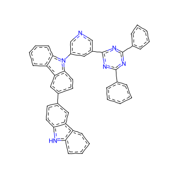 c1ccc(-c2nc(-c3ccccc3)nc(-c3cncc(-n4c5ccccc5c5cc(-c6ccc7[nH]c8ccccc8c7c6)ccc54)c3)n2)cc1